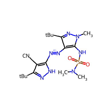 [C-]#[N+]c1c(C(C)(C)C)n[nH]c1/N=N/c1c(C(C)(C)C)nn(C)c1NS(=O)(=O)N(C)C